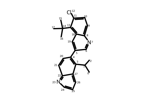 CC(C)c1c(-c2cnc3ccc(Cl)c(C(C)(C)C)c3c2)ccc2ncccc12